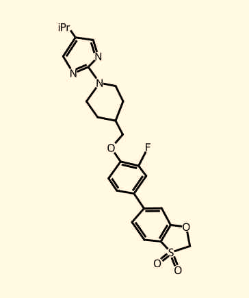 CC(C)c1cnc(N2CCC(COc3ccc(-c4ccc5c(c4)OCS5(=O)=O)cc3F)CC2)nc1